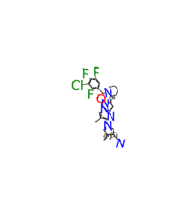 Cc1cn2nc([C@@H]3CCCCN3C(=O)c3cc(F)c(F)c(Cl)c3F)cc2nc1N1C[C@@H](C#N)[C@@H](C)C1